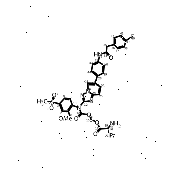 COc1cc(S(C)(=O)=O)ccc1N(C(=O)OSOC(=O)[C@@H](N)C(C)C)c1nc2ccc(-c3ccc(NC(=O)Cc4ccc(F)cc4)cc3)cn2n1